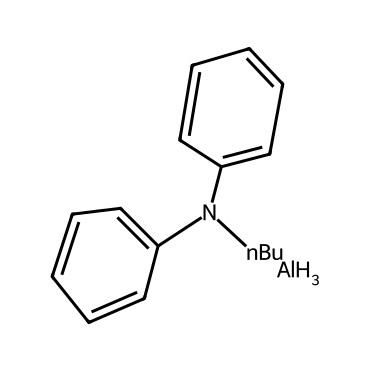 [AlH3].[CH2]CCCN(c1ccccc1)c1ccccc1